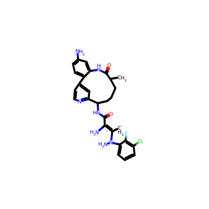 C/C(=C(/N)C(=O)NC1CCCC(C)C(=O)Nc2cc(N)ccc2-c2ccnc1c2)N(N)c1cccc(Cl)c1F